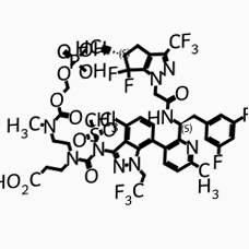 C#C[C@@H]1Cc2c(C(F)(F)F)nn(CC(=O)N[C@@H](Cc3cc(F)cc(F)c3)c3nc(C)ccc3-c3ccc(Cl)c4c(N(C(=O)N(CCC(=O)O)CCN(C)C(=O)OCOP(=O)(O)O)S(C)(=O)=O)nn(CC(F)(F)F)c34)c2C1(F)F